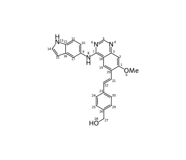 COc1cc2ncnc(Nc3ccc4[nH]ccc4c3)c2cc1/C=C/c1ccc(CO)cc1